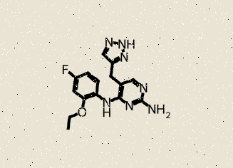 CCOc1cc(F)ccc1Nc1nc(N)ncc1Cc1cn[nH]n1